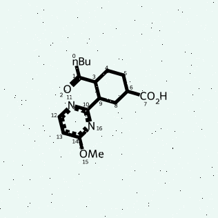 CCCCC(=O)C1CCC(C(=O)O)CC1c1nccc(OC)n1